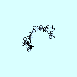 Cc1sc(-c2cnc(Cc3cccc(OCCOCCNc4cccc5c4C(=O)N(C4CCC(=O)NC4=O)C5=O)c3)o2)nc1-c1ccc2c(c1)CCN2C(=O)C1CC1